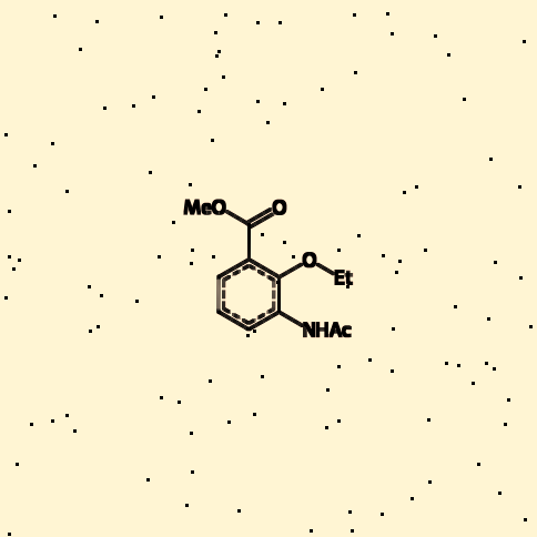 CCOc1c(NC(C)=O)cccc1C(=O)OC